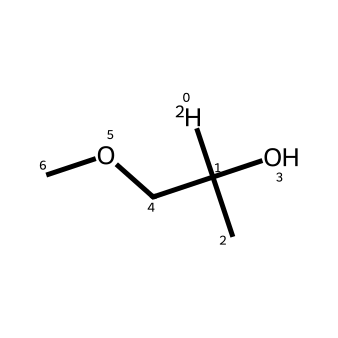 [2H]C(C)(O)COC